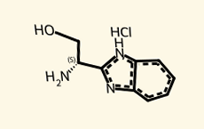 Cl.N[C@H](CO)c1nc2ccccc2[nH]1